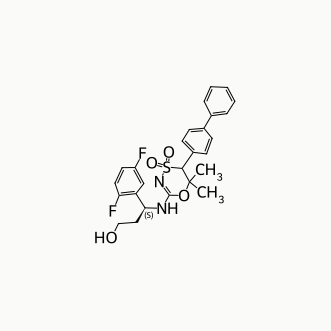 CC1(C)OC(N[C@@H](CCO)c2cc(F)ccc2F)=NS(=O)(=O)C1c1ccc(-c2ccccc2)cc1